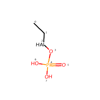 C[CH2][AlH][O]P(=O)(O)O